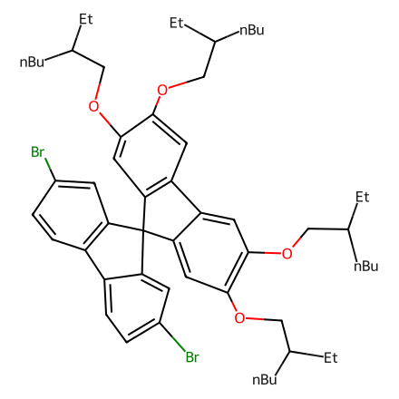 CCCCC(CC)COc1cc2c(cc1OCC(CC)CCCC)C1(c3cc(Br)ccc3-c3ccc(Br)cc31)c1cc(OCC(CC)CCCC)c(OCC(CC)CCCC)cc1-2